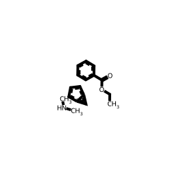 CCOC(=O)c1ccccc1.CNC.c1cc2cc-2c1